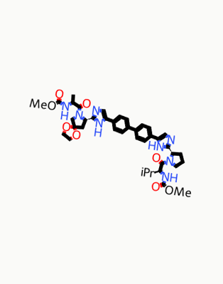 COC(=O)NC(C)C(=O)N1CC2(C[C@H]1c1ncc(-c3ccc(-c4ccc(-c5cnc([C@@H]6CCCN6C(=O)[C@@H](NC(=O)OC)C(C)C)[nH]5)cc4)cc3)[nH]1)OCCO2